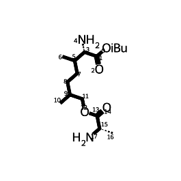 CC(C)COC(=O)[C@@H](N)C(C)CCC(C)COC(=O)[C@H](C)N